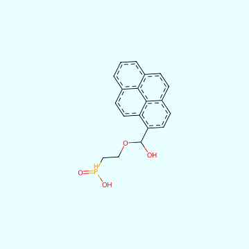 O=[PH](O)CCOC(O)c1ccc2ccc3cccc4ccc1c2c34